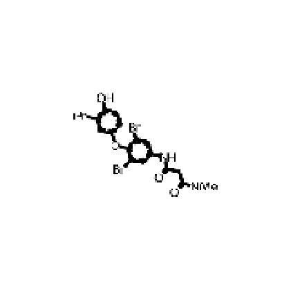 CNC(=O)CC(=O)Nc1cc(Br)c(Oc2ccc(O)c(C(C)C)c2)c(Br)c1